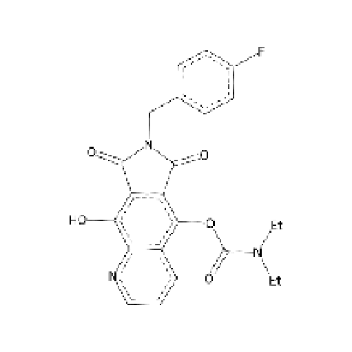 CCN(CC)C(=O)Oc1c2c(c(O)c3ncccc13)C(=O)N(Cc1ccc(F)cc1)C2=O